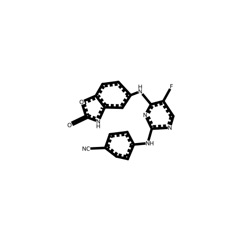 N#Cc1ccc(Nc2ncc(F)c(Nc3ccc4oc(=O)[nH]c4c3)n2)cc1